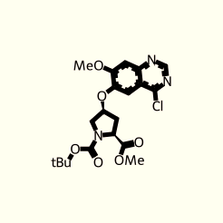 COC(=O)[C@@H]1C[C@H](Oc2cc3c(Cl)ncnc3cc2OC)CN1C(=O)OC(C)(C)C